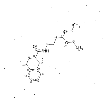 CCOC(CCCNC(=O)C1CCc2ccccc2C1)OCC